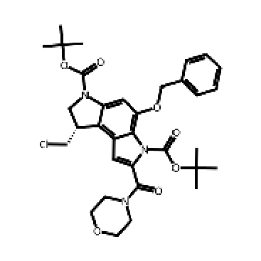 CC(C)(C)OC(=O)N1C[C@@H](CCl)c2c1cc(OCc1ccccc1)c1c2cc(C(=O)N2CCOCC2)n1C(=O)OC(C)(C)C